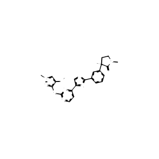 CCOc1cn(C)nc1Nc1nccc(-c2csc(-c3cccc([C@]4(O)CCN(C)C4=O)c3)n2)n1